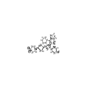 CC1CC1(C#N)NC(=O)[C@@H]1CCCC[C@H]1c1nc(-c2ccc(F)cn2)sc1-c1ccc(N2CCS(=O)(=O)CC2)cc1